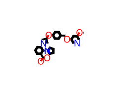 COC(=O)c1cccc(N2CC(Oc3ccc(COc4cncc(OC)c4)cc3)C2)c1-n1cccc1